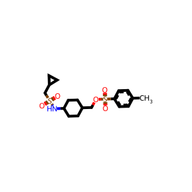 Cc1ccc(S(=O)(=O)OCC2CCC(NS(=O)(=O)CC3CC3)CC2)cc1